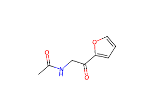 CC(=O)NCC(=O)c1ccco1